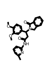 COc1ccc(C(CC(=O)Nc2cccc(C)n2)N2Cc3ccccc3C2=O)cc1OC